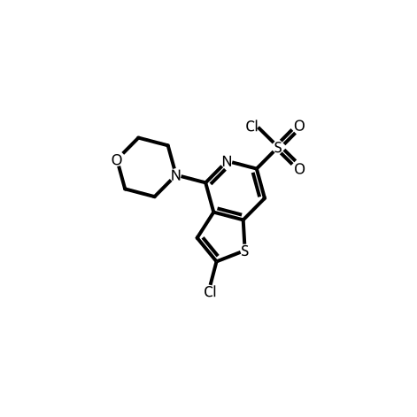 O=S(=O)(Cl)c1cc2sc(Cl)cc2c(N2CCOCC2)n1